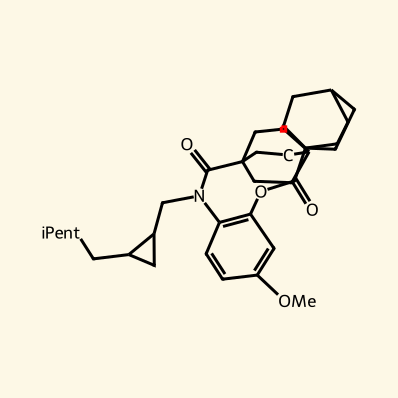 CCCC(C)CC1CC1CN(C(=O)C12CCC(CC1)CC2)c1ccc(OC)cc1OC(=O)C12CCC(CC1)CC2